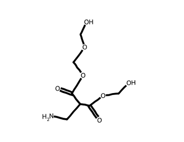 NCC(C(=O)OCO)C(=O)OCOCO